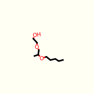 CCCCCOC(C)COCCO